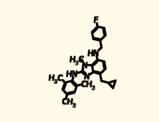 Cc1cc(C)c(Nc2nc3c(CC4CC4)ccc(NCc4ccc(F)cc4)c3n2C)c(C)c1